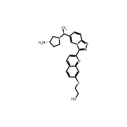 N[C@H]1CCN([C@H](c2ccc3nnc(-c4ccc5ccc(SCCO)cc5n4)n3c2)C(F)(F)F)C1